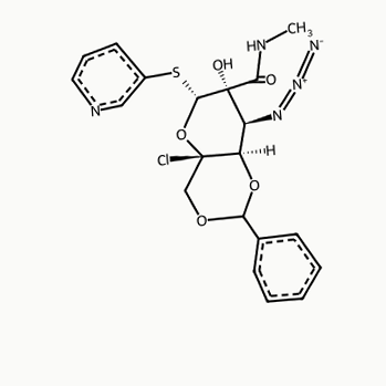 CNC(=O)[C@]1(O)[C@@H](Sc2cccnc2)O[C@@]2(Cl)COC(c3ccccc3)O[C@@H]2[C@@H]1N=[N+]=[N-]